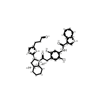 O=CCCc1cnc([C@@H]2C[C@@H]3CCCC[C@@H]3N2C(=O)Cc2cc(Cl)c(NC(=O)c3csc4ccccc34)cc2F)s1